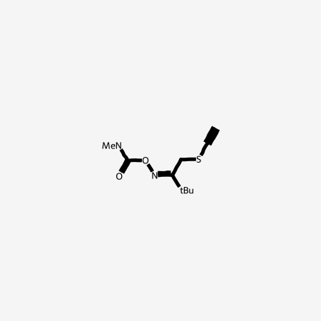 C#CSCC(=NOC(=O)NC)C(C)(C)C